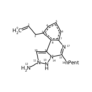 C=CCc1cccc2c1C1=CN(N)NN1C(CCCCC)=N2